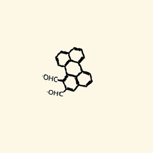 O=[C]c1cc2cccc3c4cccc5cccc(c(c1[C]=O)c23)c54